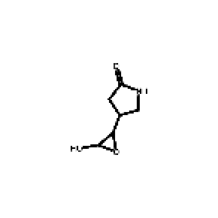 O=C1CC(C2OC2O)CN1